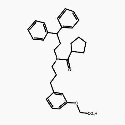 O=C(O)COc1cccc(CCCN(CCC(c2ccccc2)c2ccccc2)C(=O)C2CCCC2)c1